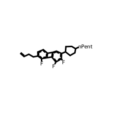 C=CCCc1ccc2c(c1F)-c1c-2cc(C2CCC(CCCCC)CC2)c(F)c1F